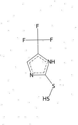 FC(F)(F)c1cnc(SS)[nH]1